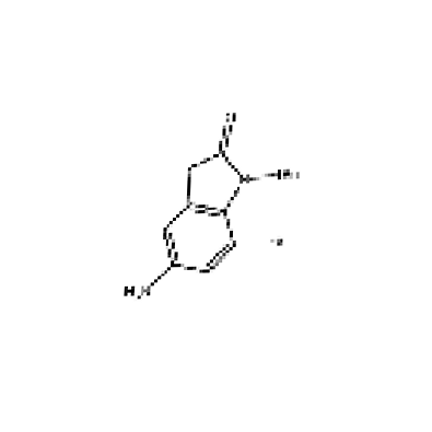 CC(C)(C)N1C(=O)Cc2cc(N)ccc21.[Fe]